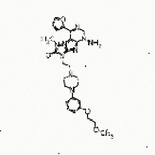 COCCOc1cccc(N2CCN(CCn3c(=O)n(C)n4c5c(nc34)N(N)CN=C5c3ccco3)CC2)c1